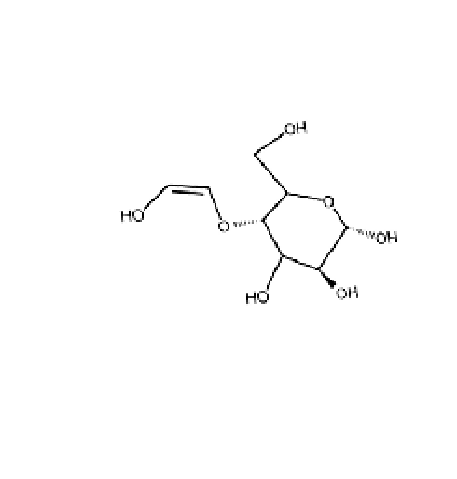 O/C=C\O[C@@H]1C(CO)O[C@H](O)[C@@H](O)C1O